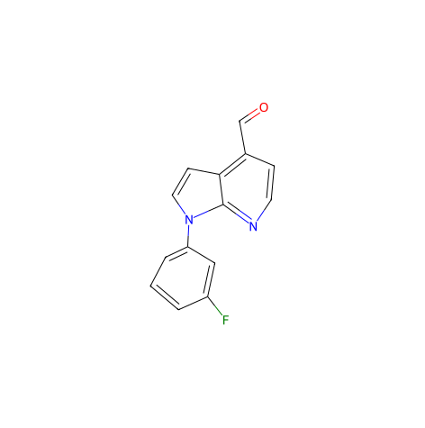 O=Cc1ccnc2c1ccn2-c1cccc(F)c1